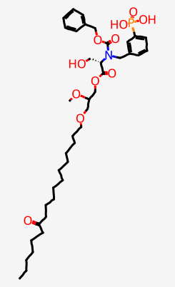 CCCCCCC(=O)CCCCCCCCCCCOCC(COC(=O)[C@H](CO)N(Cc1cccc(P(=O)(O)O)c1)C(=O)OCc1ccccc1)OC